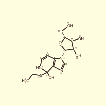 CCSC1(O)NC=Nc2c1ncn2[C@@H]1O[C@H](CO)[C@@H](O)[C@H]1O